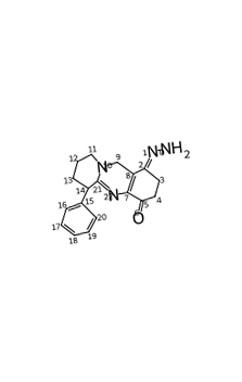 NN=C1CCC(=O)C2=C1CN1CCCC(c3ccccc3)C1=N2